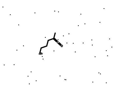 CCCCCCC(C)=C=O